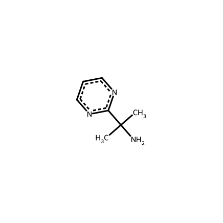 CC(C)(N)c1ncccn1